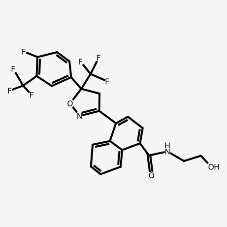 O=C(NCCO)c1ccc(C2=NOC(c3ccc(F)c(C(F)(F)F)c3)(C(F)(F)F)C2)c2ccccc12